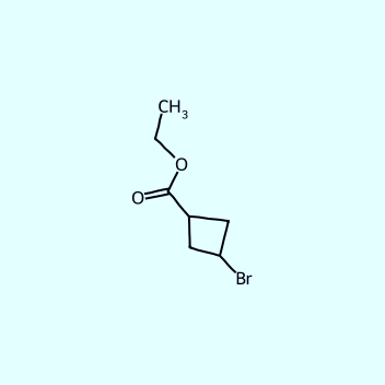 CCOC(=O)C1CC(Br)C1